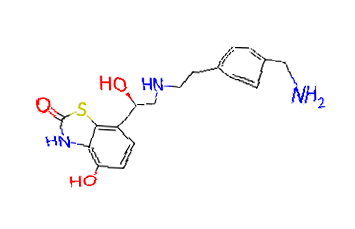 NCc1ccc(CCNC[C@H](O)c2ccc(O)c3[nH]c(=O)sc23)cc1